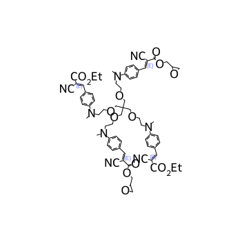 CCOC(=O)/C(C#N)=C/c1ccc(N(C)CCOCC(COCCN(C)c2ccc(/C=C(\C#N)C(=O)OCC)cc2)(COCCN(C)c2ccc(/C=C(\C#N)C(=O)OCC3CO3)cc2)COCCN(C)c2ccc(/C=C(\C#N)C(=O)OCC3CO3)cc2)cc1